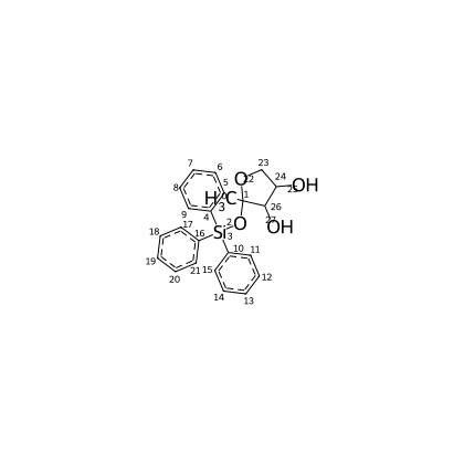 CC1(O[Si](c2ccccc2)(c2ccccc2)c2ccccc2)OCC(O)C1O